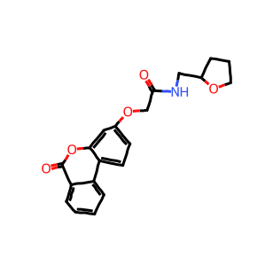 O=C(COc1ccc2c(c1)oc(=O)c1ccccc12)NCC1CCCO1